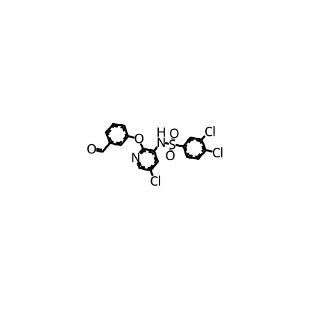 O=Cc1cccc(Oc2ncc(Cl)cc2NS(=O)(=O)c2ccc(Cl)c(Cl)c2)c1